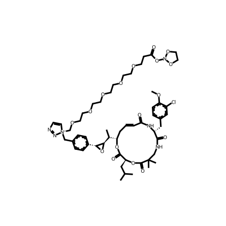 COc1ccc(C[C@H]2NC(=O)/C=C/C[C@@H](C(C)[C@H]3O[C@@H]3c3ccc(C[N+]4(COCCOCCOCCOCCOCCC(=O)ON5OCCO5)C=CN=N4)cc3)OC(=O)[C@H](CC(C)C)OC(=O)C(C)(C)CNC2=O)cc1Cl